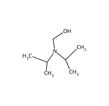 CC(C)N(CO)C(C)C